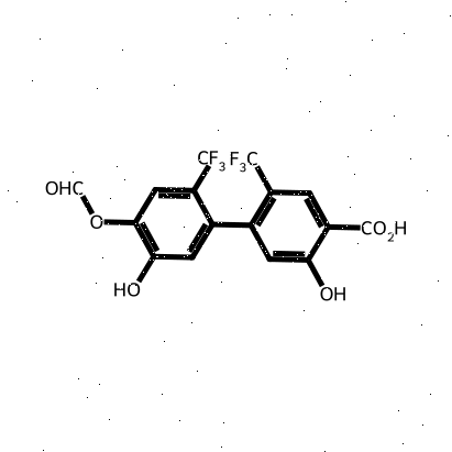 O=COc1cc(C(F)(F)F)c(-c2cc(O)c(C(=O)O)cc2C(F)(F)F)cc1O